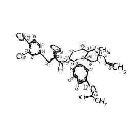 C=CC[N@@+]1(C)CC[C@@]2(c3cccc(OC(C)=O)c3)C[C@@H](NC(=O)Cc3ccc(Cl)c(Cl)c3)CCC2C1